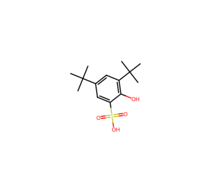 CC(C)(C)c1cc(C(C)(C)C)c(O)c(S(=O)(=O)O)c1